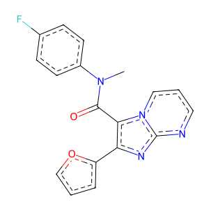 CN(C(=O)c1c(-c2ccco2)nc2ncccn12)c1ccc(F)cc1